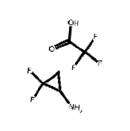 NC1CC1(F)F.O=C(O)C(F)(F)F